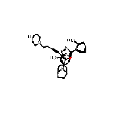 Nc1nnc(-c2ccccc2O)cc1N1CC2CCC(C1)N2c1ccnc(C#CCCN2CCNCC2)c1